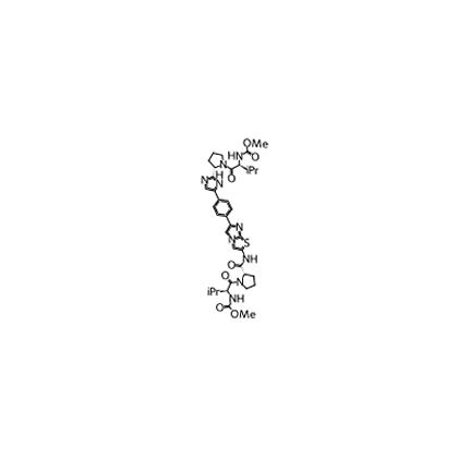 COC(=O)N[C@H](C(=O)N1CCC[C@H]1C(=O)Nc1cn2cc(-c3ccc(-c4cnc([C@@H]5CCCN5C(=O)[C@@H](NC(=O)OC)C(C)C)[nH]4)cc3)nc2s1)C(C)C